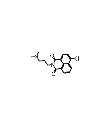 CN(C)CCCN1C(=O)c2cccc3c(Cl)ccc(c23)C1=O